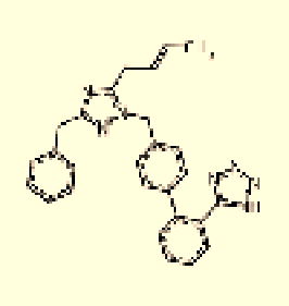 CC=CCc1nc(Cc2ccccc2)nn1Cc1ccc(-c2ccccc2-c2nnn[nH]2)cc1